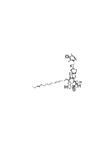 CCCCCCCCCCCCCCCC(=O)N[C@@H](Cc1ccc(OCc2ncc(C)c(OC)c2C)cc1)[C@H](O)CP(=O)(O)O